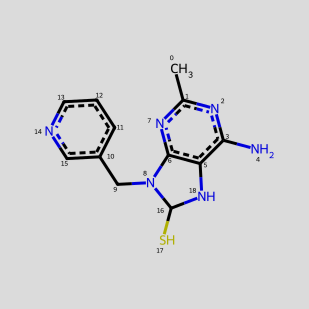 Cc1nc(N)c2c(n1)N(Cc1cccnc1)C(S)N2